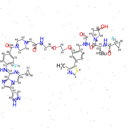 Cc1ncsc1-c1ccc(CNC(=O)[C@@H]2C[C@@H](O)CN2C(=O)[C@@H](NC(=O)C2(F)CC2)C(C)(C)C)c(OCCOCCNC(=O)CN2CCN(C(=O)c3ccc(Nc4nc(C5CC5)cn5c(-c6cn[nH]c6)cnc45)c(F)c3)CC2)c1